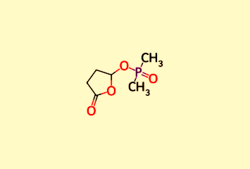 CP(C)(=O)OC1CCC(=O)O1